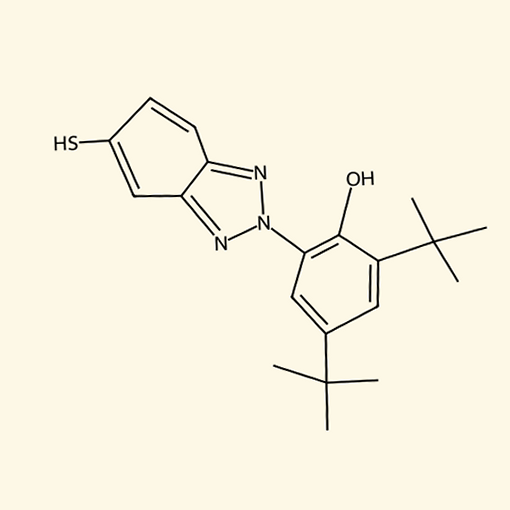 CC(C)(C)c1cc(-n2nc3ccc(S)cc3n2)c(O)c(C(C)(C)C)c1